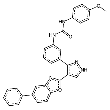 COc1ccc(NC(=O)Nc2cccc(-c3n[nH]cc3-c3nc4cc(-c5ccccc5)ccc4o3)c2)cc1